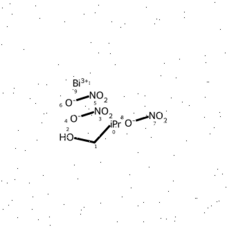 CC(C)CO.O=[N+]([O-])[O-].O=[N+]([O-])[O-].O=[N+]([O-])[O-].[Bi+3]